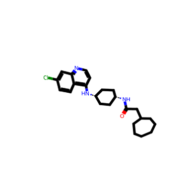 O=C(CC1CCCCCC1)N[C@H]1CC[C@@H](Nc2ccnc3cc(Cl)ccc23)CC1